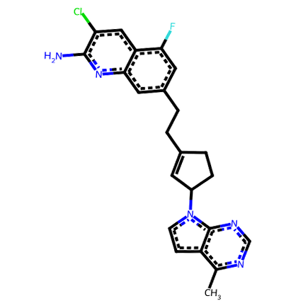 Cc1ncnc2c1ccn2C1C=C(CCc2cc(F)c3cc(Cl)c(N)nc3c2)CC1